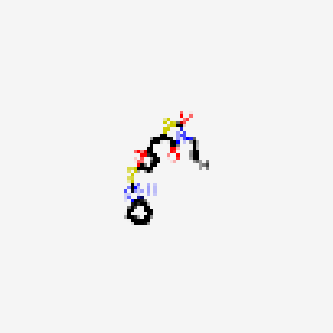 C#CCN1C(=O)SC(=Cc2ccc(Sc3nc4ccccc4[nH]3)o2)C1=O